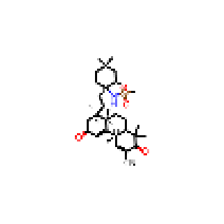 CC1CC(C)(C)CC[C@@]1(CC[C@]1(C)CC(=O)C=C2[C@@]3(C)C=C(C#N)C(=O)C(C)(C)C3CC[C@]21C)NS(C)(=O)=O